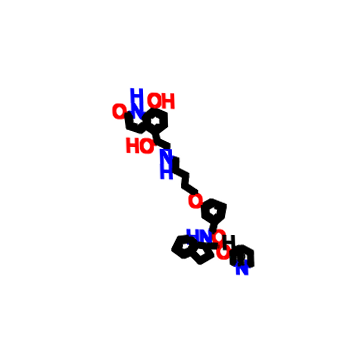 O=C(O[C@H]1CN2CCC1CC2)C1(NCc2cccc(OCCCCCNCC(O)c3ccc(O)c4[nH]c(=O)ccc34)c2)CCc2ccccc21